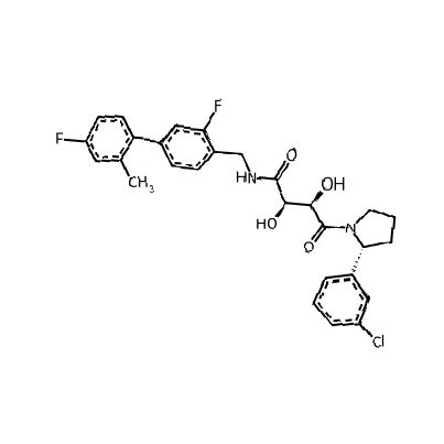 Cc1cc(F)ccc1-c1ccc(CNC(=O)[C@H](O)[C@@H](O)C(=O)N2CCC[C@@H]2c2cccc(Cl)c2)c(F)c1